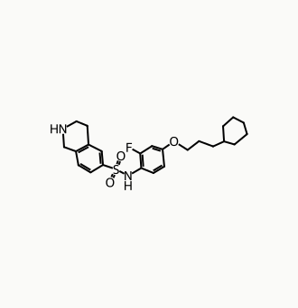 O=S(=O)(Nc1ccc(OCCCC2CCCCC2)cc1F)c1ccc2c(c1)CCNC2